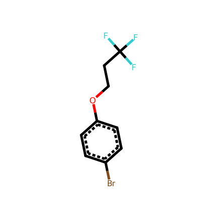 FC(F)(F)CCOc1ccc(Br)cc1